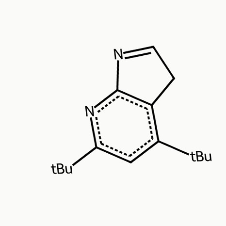 CC(C)(C)c1cc(C(C)(C)C)c2c(n1)N=CC2